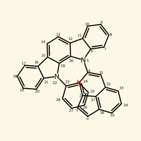 C1=Cc2cc(-n3c4ccccc4c4ccc5c6ccccc6n(-c6ccccc6)c5c43)cc3cccc1c23